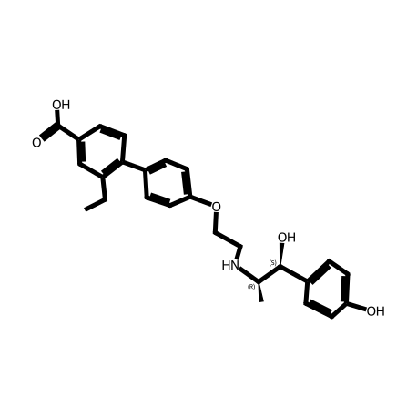 CCc1cc(C(=O)O)ccc1-c1ccc(OCCN[C@H](C)[C@@H](O)c2ccc(O)cc2)cc1